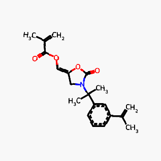 C=C(C)C(=O)OC=C1CN(C(C)(C)c2cccc(C(=C)C)c2)C(=O)O1